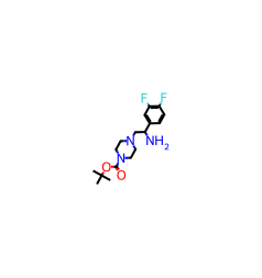 CC(C)(C)OC(=O)N1CCN(CC(N)c2ccc(F)c(F)c2)CC1